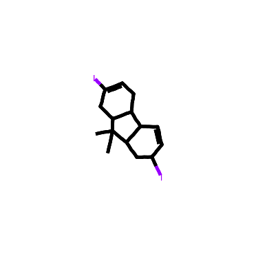 CC1(C)C2CC(I)C=CC2C2CC=C(I)CC21